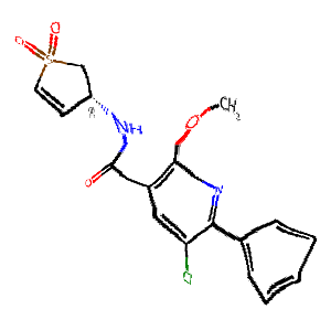 COc1nc(-c2ccccc2)c(Cl)cc1C(=O)N[C@@H]1C=CS(=O)(=O)C1